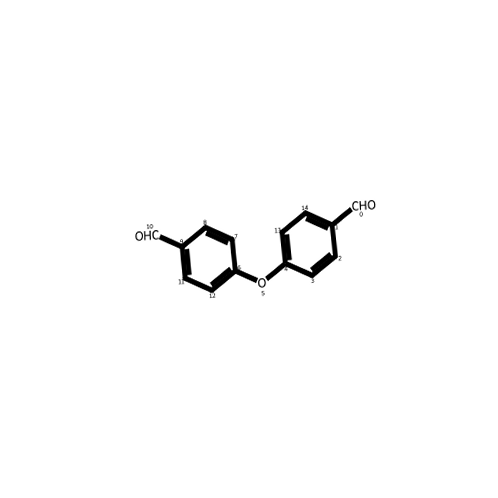 O=Cc1ccc(Oc2ccc(C=O)cc2)cc1